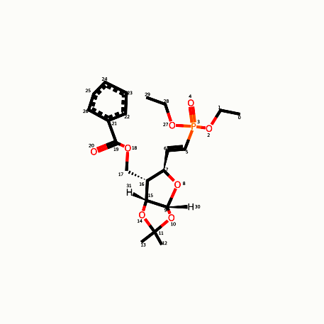 CCOP(=O)(/C=C/[C@H]1O[C@@H]2OC(C)(C)O[C@@H]2[C@@H]1COC(=O)c1ccccc1)OCC